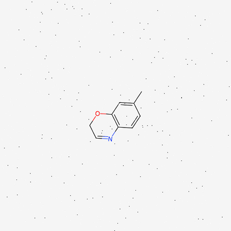 Cc1ccc2c(c1)OCC=N2